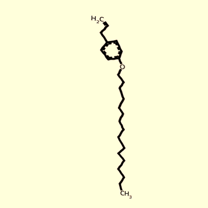 C=CCc1ccc(OCCCCCCCCCCCCCCCC)cc1